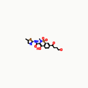 Cc1cnc(NC(=O)C2=C(O)c3ccc(C(=O)CCC=O)cc3S(=O)(=O)N2C)s1